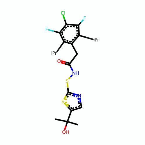 CC(C)c1c(F)c(Cl)c(F)c(C(C)C)c1CC(=O)NSc1ncc(C(C)(C)O)s1